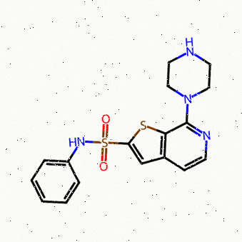 O=S(=O)(Nc1ccccc1)c1cc2ccnc(N3CCNCC3)c2s1